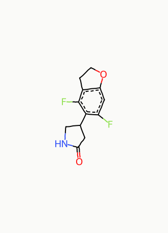 O=C1CC(c2c(F)cc3c(c2F)CCO3)CN1